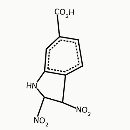 O=C(O)c1ccc2c(c1)NC([N+](=O)[O-])C2[N+](=O)[O-]